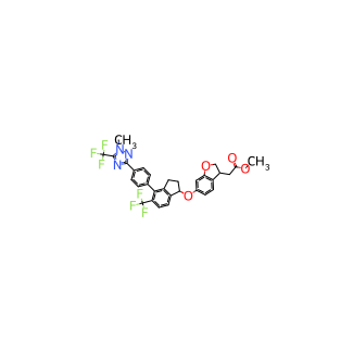 COC(=O)CC1COc2cc(O[C@@H]3CCc4c3ccc(C(F)(F)F)c4-c3ccc(-c4nc(C(F)(F)F)n(C)n4)cc3)ccc21